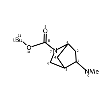 CNC1CC2CC1CN2C(=O)OC(C)(C)C